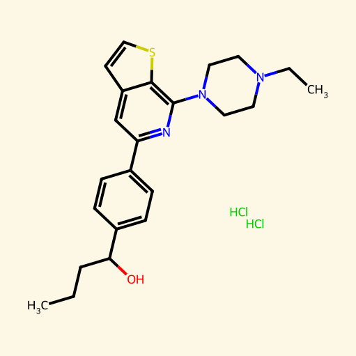 CCCC(O)c1ccc(-c2cc3ccsc3c(N3CCN(CC)CC3)n2)cc1.Cl.Cl